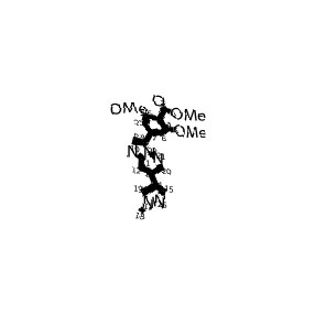 COC(=O)c1c(OC)cc(-c2cnc3cc(-c4cnn(C)c4)cnn23)cc1OC